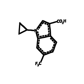 O=C(O)c1cn(C2CC2)c2cc(C(F)(F)F)ccc12